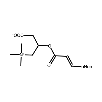 CCCCCCCCC/C=C/C(=O)OC(CC(=O)[O-])C[N+](C)(C)C